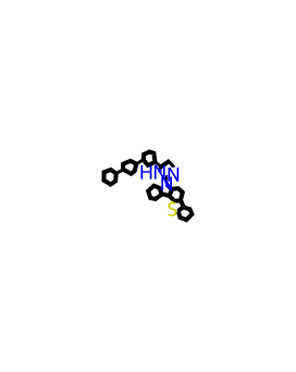 C1=NC(n2c3ccccc3c3c4sc5ccccc5c4ccc32)NC(c2cccc(-c3ccc(-c4ccccc4)cc3)c2)=C1